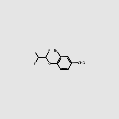 O=Cc1ccc(OC(F)C(F)F)c(Br)c1